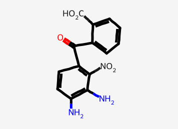 Nc1ccc(C(=O)c2ccccc2C(=O)O)c([N+](=O)[O-])c1N